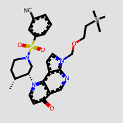 C[C@@H]1CCN(S(=O)(=O)c2cccc(C#N)c2)C[C@@H]1n1ccc(=O)c2cnc3c(ccn3COCC[Si](C)(C)C)c21